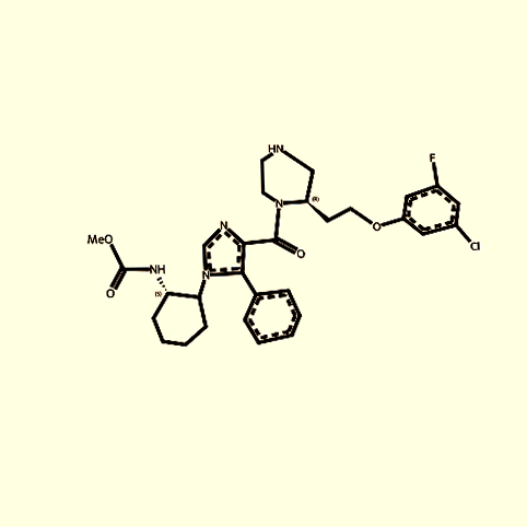 COC(=O)N[C@H]1CCCCC1n1cnc(C(=O)N2CCNC[C@H]2CCOc2cc(F)cc(Cl)c2)c1-c1ccccc1